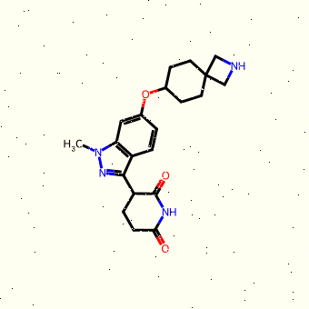 Cn1nc(C2CCC(=O)NC2=O)c2ccc(OC3CCC4(CC3)CNC4)cc21